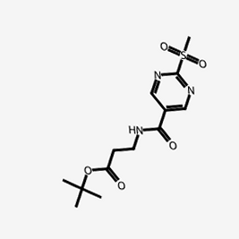 CC(C)(C)OC(=O)CCNC(=O)c1cnc(S(C)(=O)=O)nc1